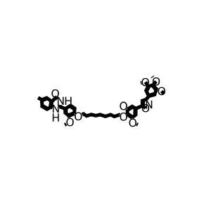 COc1cc(C2NC(=O)c3cc(C)ccc3N2)ccc1OCCCCCCCCCOc1c(OC)cc(-c2cc(-c3cc(OC)c(OC)c(OC)c3)no2)cc1OC